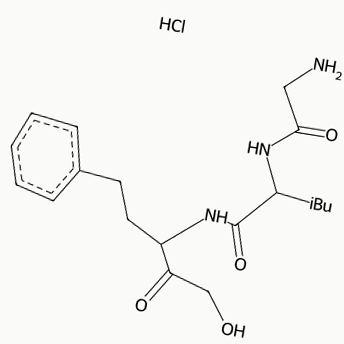 CCC(C)C(NC(=O)CN)C(=O)NC(CCc1ccccc1)C(=O)CO.Cl